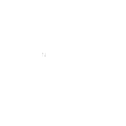 CC12C=CC=NC1C=CCC2